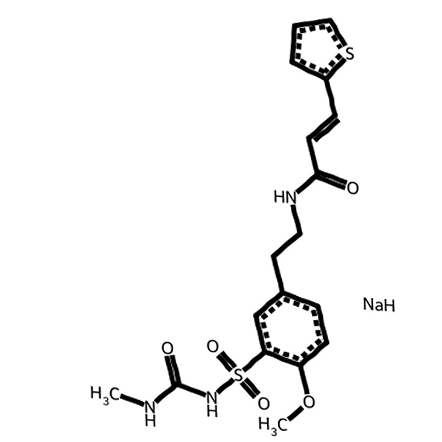 CNC(=O)NS(=O)(=O)c1cc(CCNC(=O)C=Cc2cccs2)ccc1OC.[NaH]